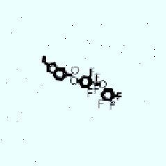 CCC1Cc2ccc(C(=O)Oc3cc(F)c(C(F)(F)Oc4cc(F)c(F)c(F)c4)c(F)c3)cc2C1